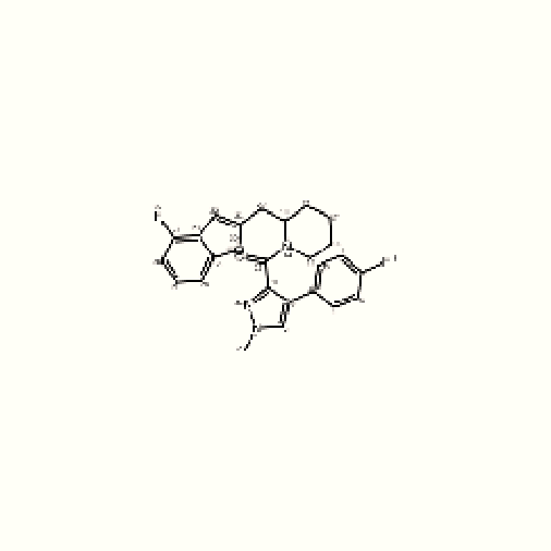 Cn1cc(-c2ccc(F)cc2)c(C(=O)N2CCCCC2Cc2cc3c(F)cccc3o2)n1